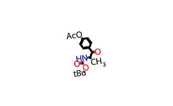 CC(=O)Oc1ccc(C(=O)C(C)NC(=O)OC(C)(C)C)cc1